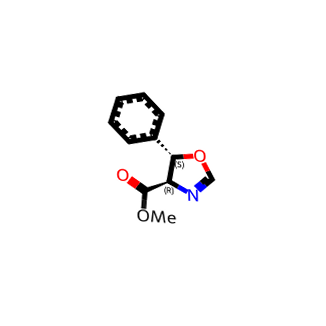 COC(=O)[C@@H]1N=CO[C@H]1c1ccccc1